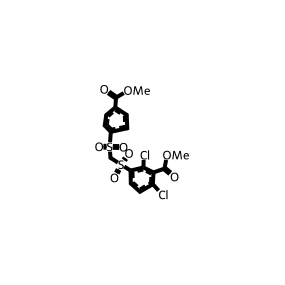 COC(=O)c1ccc(S(=O)(=O)CS(=O)(=O)c2ccc(Cl)c(C(=O)OC)c2Cl)cc1